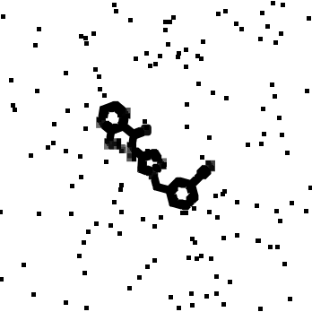 N#Cc1cccc(Cn2cc(NC(=O)c3nccnc3N)cn2)c1